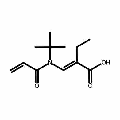 C=CC(=O)N(C=C(CC)C(=O)O)C(C)(C)C